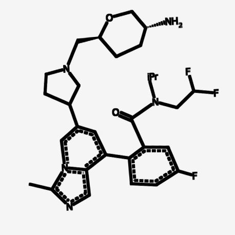 Cc1ncc2c(-c3ccc(F)cc3C(=O)N(CC(F)F)C(C)C)cc(C3CCN(C[C@@H]4CC[C@@H](N)CO4)C3)cn12